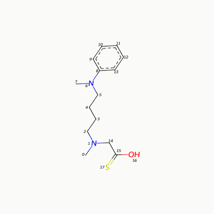 CN(CCCCN(C)c1ccccc1)CC(O)=S